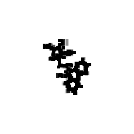 CC[C@@H]1O[C@H](CO[Si](c2ccccc2)(c2ccccc2)C(C)(C)C)C(O)C1O